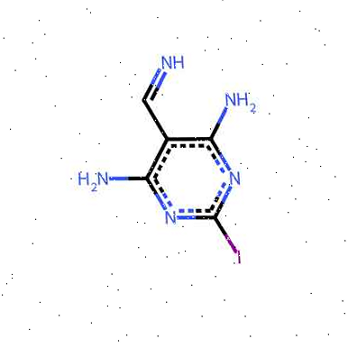 N=Cc1c(N)nc(I)nc1N